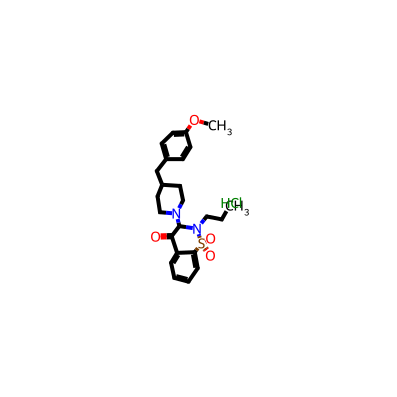 CCCN1C(N2CCC(Cc3ccc(OC)cc3)CC2)C(=O)c2ccccc2S1(=O)=O.Cl